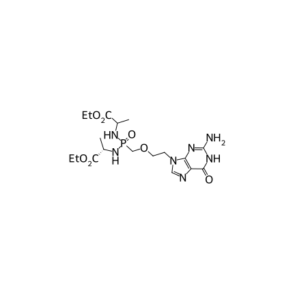 CCOC(=O)C(C)NP(=O)(COCCn1cnc2c(=O)[nH]c(N)nc21)N[C@@H](C)C(=O)OCC